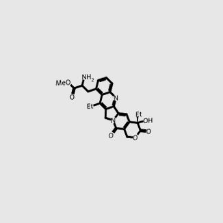 CCc1c2c(nc3cccc(CC(N)C(=O)OC)c13)-c1cc3c(c(=O)n1C2)COC(=O)[C@]3(O)CC